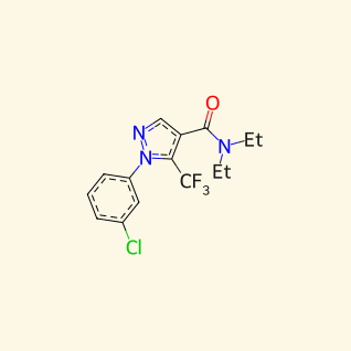 CCN(CC)C(=O)c1cnn(-c2cccc(Cl)c2)c1C(F)(F)F